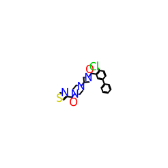 O=C(c1cscn1)N1CCN(C2CN(C(=O)c3cc(-c4ccccc4)ccc3Cl)C2)CC1